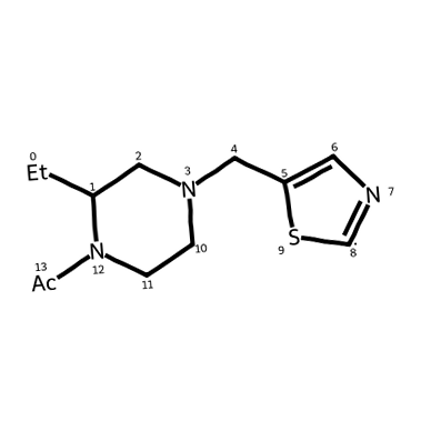 CCC1CN(Cc2cn[c]s2)CCN1C(C)=O